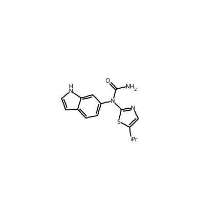 CC(C)c1cnc(N(C(N)=O)c2ccc3cc[nH]c3c2)s1